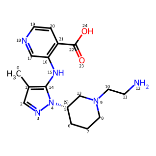 Cc1cnn([C@H]2CCCN(CCN)C2)c1Nc1cnccc1C(=O)O